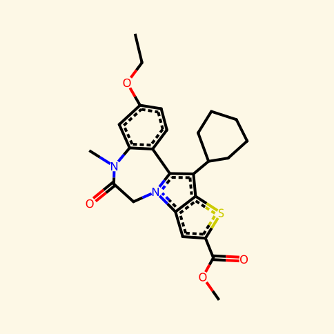 CCOc1ccc2c(c1)N(C)C(=O)Cn1c-2c(C2CCCCC2)c2sc(C(=O)OC)cc21